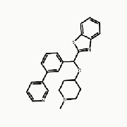 CN1CCC(OC(c2cccc(-c3cccnc3)c2)c2nc3ccccc3s2)CC1